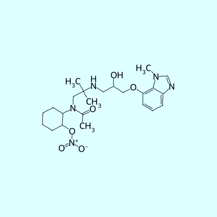 CC(=O)N(CC(C)(C)NCC(O)COc1cccc2ncn(C)c12)C1CCCCC1O[N+](=O)[O-]